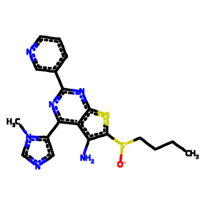 CCCC[S+]([O-])c1sc2nc(-c3cccnc3)nc(-c3cncn3C)c2c1N